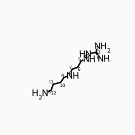 N=C(N)NNCCCNCCCCN